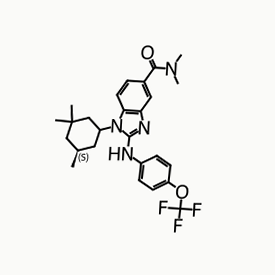 C[C@@H]1CC(n2c(Nc3ccc(OC(F)(F)F)cc3)nc3cc(C(=O)N(C)C)ccc32)CC(C)(C)C1